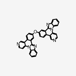 c1ccc2c(c1)nc1c3cc(Oc4ccc5c6cnccc6n6c7ccccc7nc6c5c4)ccc3c3cnccc3n21